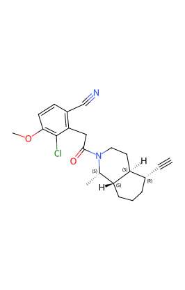 C#C[C@@H]1CCC[C@H]2[C@H]1CCN(C(=O)Cc1c(C#N)ccc(OC)c1Cl)[C@H]2C